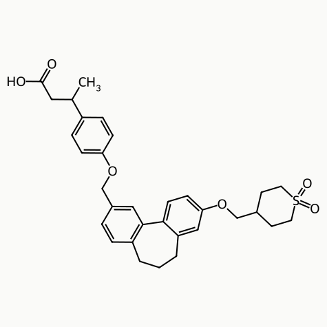 CC(CC(=O)O)c1ccc(OCc2ccc3c(c2)-c2ccc(OCC4CCS(=O)(=O)CC4)cc2CCC3)cc1